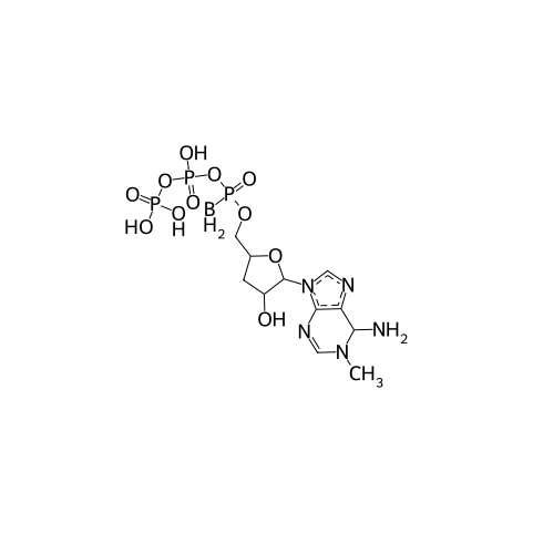 BP(=O)(OCC1CC(O)C(n2cnc3c2N=CN(C)C3N)O1)OP(=O)(O)OP(=O)(O)O